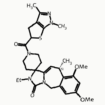 CCN1C(=O)N2Cc3cc(OC)cc(OC)c3[C@@H](C)C=C2C12CCN(C(=O)C1Cc3c(C)nn(C)c3S1)CC2